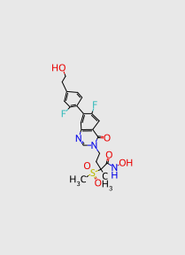 CC(CCn1cnc2cc(-c3ccc(CCO)cc3F)c(F)cc2c1=O)(C(=O)NO)S(C)(=O)=O